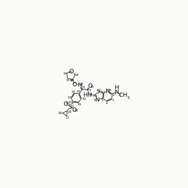 CNc1ccc2nc(NC(=O)/C(=N/O[C@@H]3CCOC3)c3ccc(S(=O)(=O)C4CC4)cc3)sc2n1